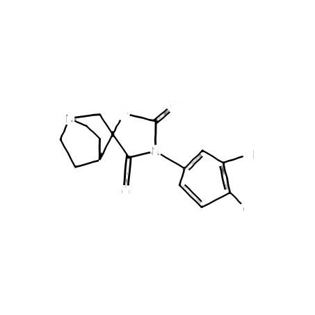 O=C1OC2(CN3CCC2CC3)C(=O)N1c1ccc(Cl)c(Cl)c1